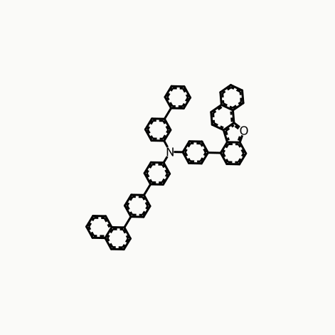 c1ccc(-c2cccc(N(c3ccc(-c4ccc(-c5cccc6ccccc56)cc4)cc3)c3ccc(-c4cccc5oc6c7ccccc7ccc6c45)cc3)c2)cc1